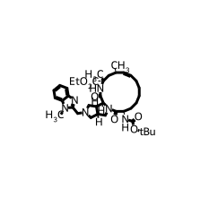 CCOC(=O)[C@]1(C)C[C@H](C)/C=C\CCCCC[C@H](NC(=O)OC(C)(C)C)C(=O)N2C[C@@H]3CN(Cc4nc5ccccc5n4C)C[C@@H]3[C@H]2C(=O)N1